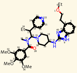 CCOCCc1cccc2[nH]c(NC3CCN(C(C(CC)c4ccncc4)N(C)C(=O)c4cc(OC)c(OC)c(OC)c4)CC3)nc12